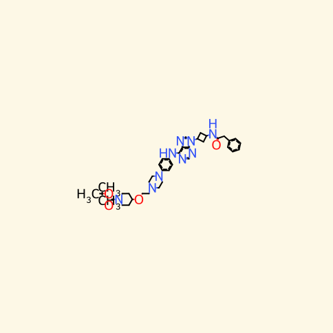 CC(C)(C)OC(=O)N1CCC(OCCN2CCN(c3ccc(Nc4ncnc5c4ncn5C4CC(NC(=O)Cc5ccccc5)C4)cc3)CC2)CC1